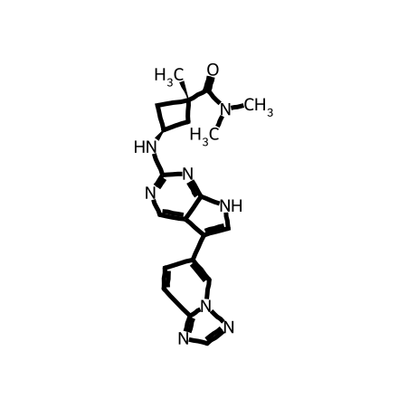 CN(C)C(=O)[C@]1(C)C[C@@H](Nc2ncc3c(-c4ccc5ncnn5c4)c[nH]c3n2)C1